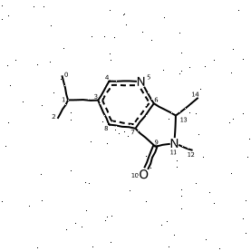 CC(C)c1cnc2c(c1)C(=O)N(C)C2C